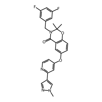 Cn1cc(-c2cc(Oc3ccc4c(c3)C(=O)N(Cc3cc(F)cc(F)c3)C(C)(C)O4)ccn2)cn1